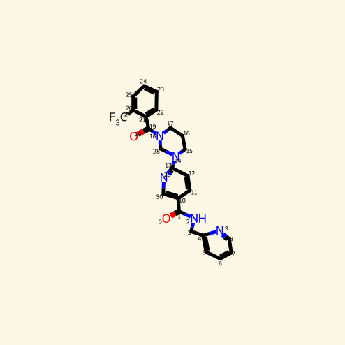 O=C(NCc1ccccn1)c1ccc(N2CCCN(C(=O)c3ccccc3C(F)(F)F)C2)nc1